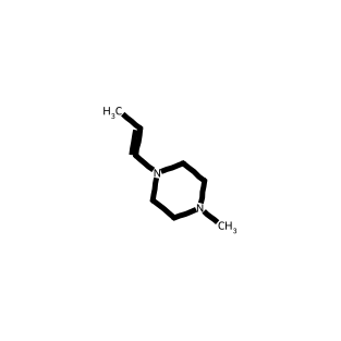 C/C=C/N1CCN(C)CC1